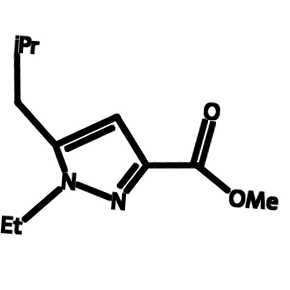 CCn1nc(C(=O)OC)cc1CC(C)C